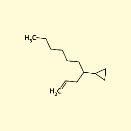 C=CCC(CCCCCC)C1CC1